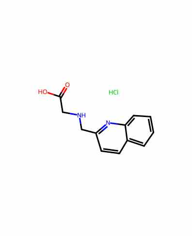 Cl.O=C(O)CNCc1ccc2ccccc2n1